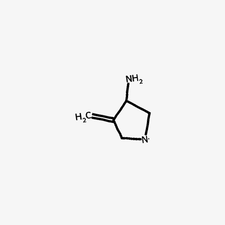 C=C1C[N]CC1N